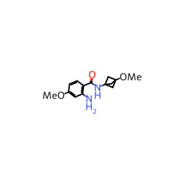 COc1ccc(C(=O)NC23CC(OC)(C2)C3)c(N)c1